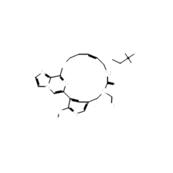 CCN1C(=O)N[C@@H](CCC(F)(F)F)/C=C\CCOc2nc(cn3ccnc23)-c2cc(cnc2OC)[C@H]1C